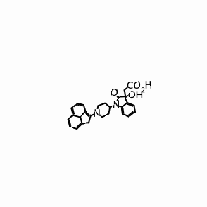 O=C(O)CC1(O)C(=O)N(C2CCN(C3=C4C=CC=C5C=CC=C(C3)C54)CC2)c2ccccc21